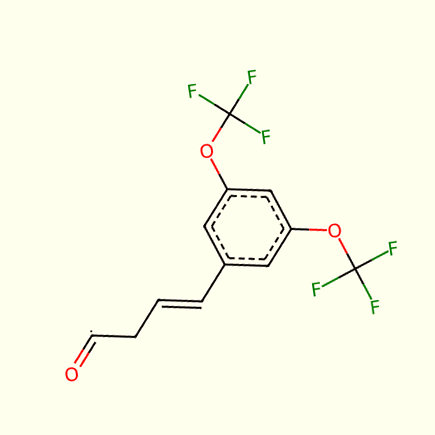 O=[C]CC=Cc1cc(OC(F)(F)F)cc(OC(F)(F)F)c1